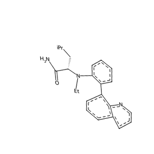 CCN(c1ccccc1-c1cccc2cccnc12)[C@@H](CC(C)C)C(N)=O